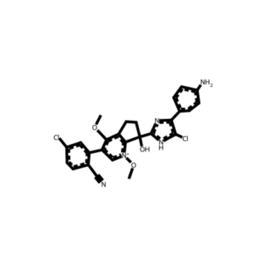 COc1c(-c2cc(Cl)ccc2C#N)c[n+](OC)c2c1CCC2(O)c1nc(-c2ccc(N)cc2)c(Cl)[nH]1